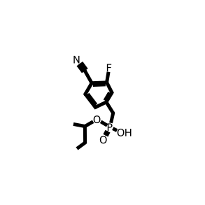 CCC(C)OP(=O)(O)Cc1ccc(C#N)c(F)c1